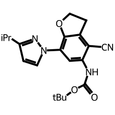 CC(C)c1ccn(-c2cc(NC(=O)OC(C)(C)C)c(C#N)c3c2OCC3)n1